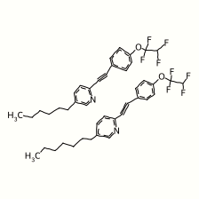 CCCCCCCc1ccc(C#Cc2ccc(OC(F)(F)C(F)F)cc2)nc1.CCCCCCc1ccc(C#Cc2ccc(OC(F)(F)C(F)F)cc2)nc1